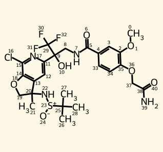 COc1cc(C(=O)NCC(O)(c2cc3c(c(Cl)n2)OCC3(C)N[S+]([O-])C(C)(C)C)C(F)(F)F)ccc1OCC(N)=O